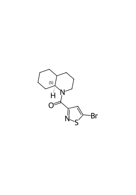 O=C(c1cc(Br)sn1)N1CCCC2CCCC[C@@H]21